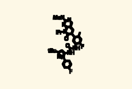 CNc1ncc2cc(-c3cc(NC(=O)Nc4cc(C(C)(C)C)nn4-c4ccc(F)cc4)c(F)cc3C)c(=O)n(C(C)C)c2n1